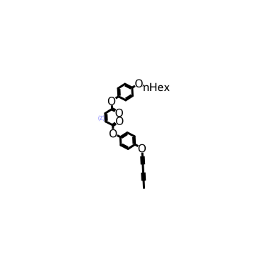 CC#CC#COc1ccc(OC(=O)/C=C\C(=O)Oc2ccc(OCCCCCC)cc2)cc1